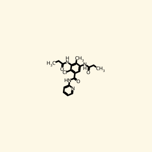 CCC(=O)Nc1cc(C(=O)Nc2ccccn2)c(Cl)c(NC(=O)CC)c1C